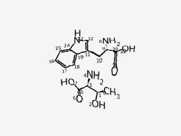 C[C@@H](O)[C@H](N)C(=O)O.N[C@@H](Cc1c[nH]c2ccccc12)C(=O)O